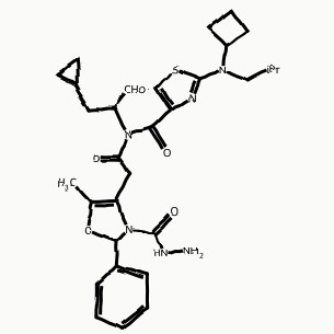 CC1=C(CC(=O)N(C(=O)c2csc(N(CC(C)C)C3CCC3)n2)[C@H]([C]=O)CC2CC2)N(C(=O)NN)C(c2ccccc2)O1